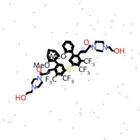 COc1ccccc1-c1cc(Sc2cc(-c3ccccc3OC)c(/C=C/C(=O)N3CCN(CCO)CC3)c(C(F)(F)F)c2C(F)(F)F)c(C(F)(F)F)c(C(F)(F)F)c1/C=C/C(=O)N1CCN(CCO)CC1